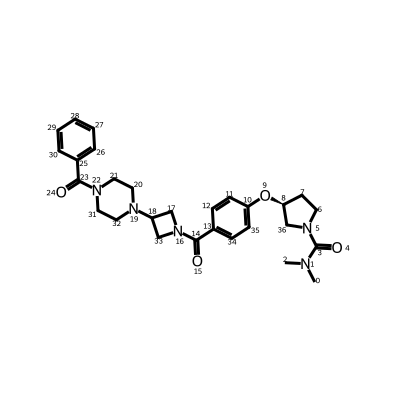 CN(C)C(=O)N1CC[C@H](Oc2ccc(C(=O)N3CC(N4CCN(C(=O)c5ccccc5)CC4)C3)cc2)C1